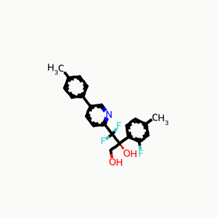 Cc1ccc(-c2ccc(C(F)(F)[C@@](O)(CO)c3ccc(C)cc3F)nc2)cc1